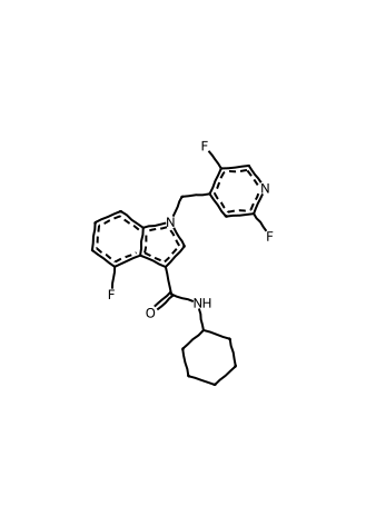 O=C(NC1CCCCC1)c1cn(Cc2cc(F)ncc2F)c2cccc(F)c12